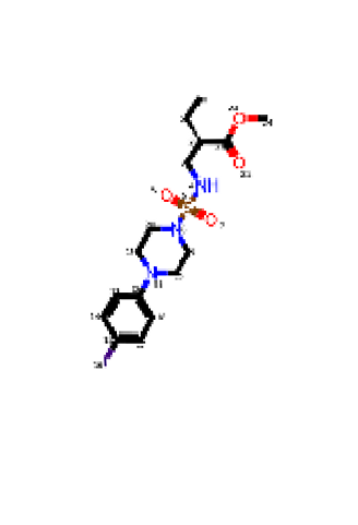 CC[C@H](CNS(=O)(=O)N1CCN(c2ccc(I)cc2)CC1)C(=O)OC